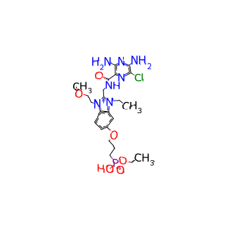 CCOP(=O)(O)CCCOc1ccc2c(c1)n(CC)c(CNC(=O)c1nc(Cl)c(N)nc1N)[n+]2CCOC